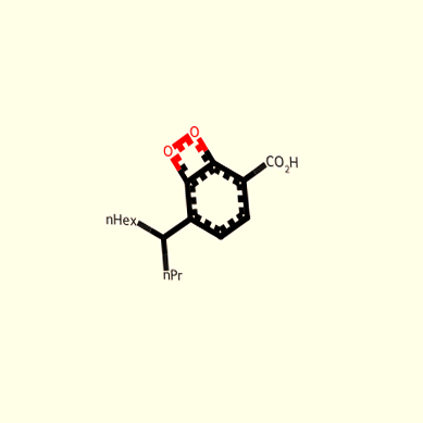 CCCCCCC(CCC)c1ccc(C(=O)O)c2ooc12